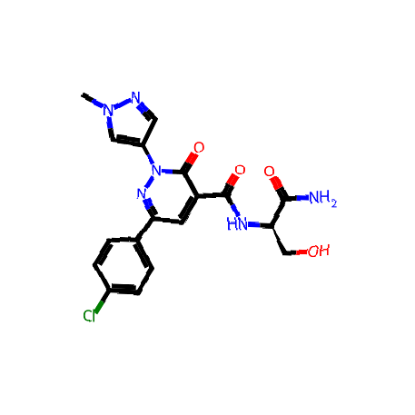 Cn1cc(-n2nc(-c3ccc(Cl)cc3)cc(C(=O)N[C@H](CO)C(N)=O)c2=O)cn1